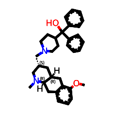 COc1cccc2c1C[C@H]1C[C@@H](CN3CCC(C(O)(c4ccccc4)c4ccccc4)CC3)CN(C)[C@@H]1C2